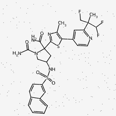 Cc1nc(C2(C(N)=O)CC(NS(=O)(=O)c3ccc4ccccc4c3)CN2C(N)=O)sc1-c1ccnc(C(C)(CF)C(F)F)c1